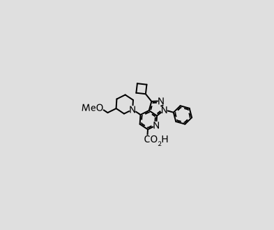 COCC1CCCN(c2cc(C(=O)O)nc3c2c(C2CCC2)nn3-c2ccccc2)C1